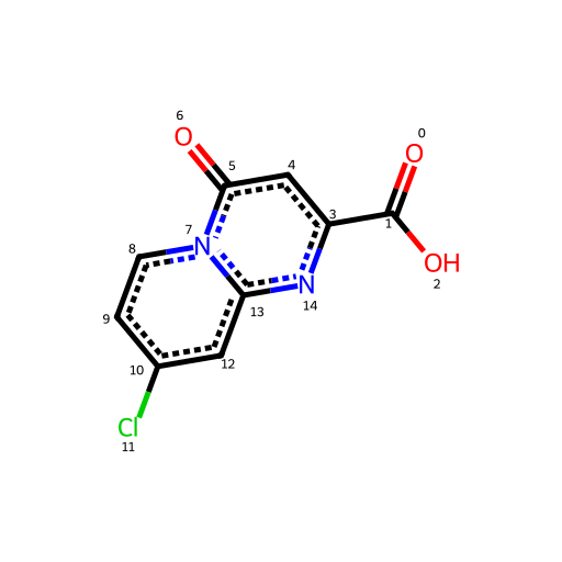 O=C(O)c1cc(=O)n2ccc(Cl)cc2n1